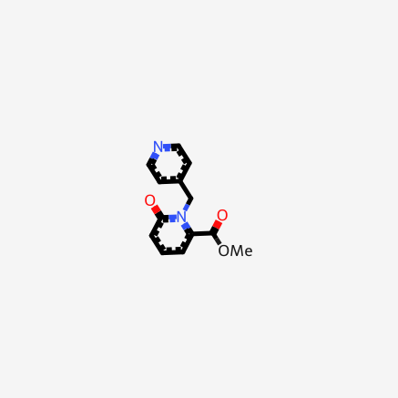 COC(=O)c1cccc(=O)n1Cc1ccncc1